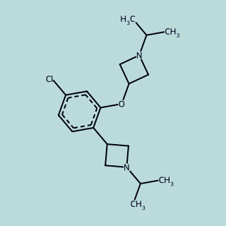 CC(C)N1CC(Oc2cc(Cl)ccc2C2CN(C(C)C)C2)C1